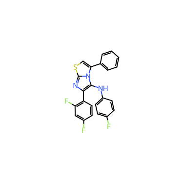 Fc1ccc(Nc2c(-c3ccc(F)cc3F)nc3scc(-c4ccccc4)n23)cc1